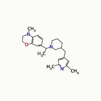 Cc1cc(CC2CCCN(C(C)c3ccc4c(c3)OCCN4C)C2)cc(C)n1